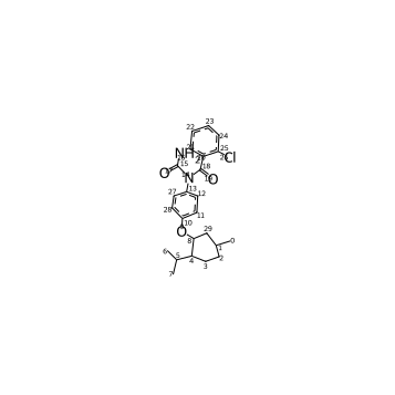 CC1CCC(C(C)C)C(Oc2ccc(N(C(N)=O)C(=O)c3ccccc3Cl)cc2)C1